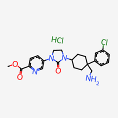 COC(=O)c1ccc(N2CCN(C3CCC(CN)(c4cccc(Cl)c4)CC3)C2=O)cn1.Cl